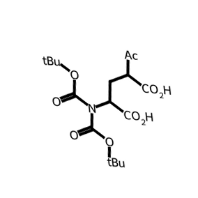 CC(=O)C(CC(C(=O)O)N(C(=O)OC(C)(C)C)C(=O)OC(C)(C)C)C(=O)O